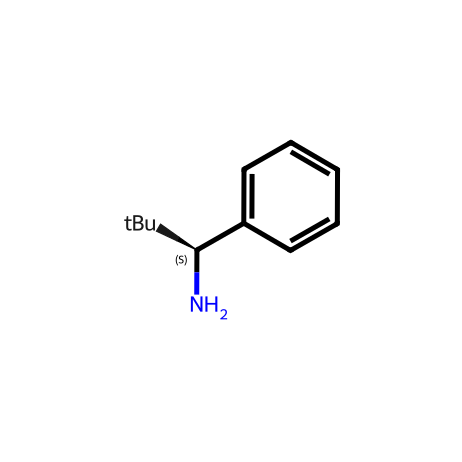 CC(C)(C)[C@H](N)c1ccccc1